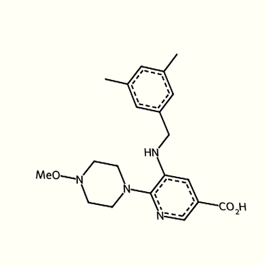 CON1CCN(c2ncc(C(=O)O)cc2NCc2cc(C)cc(C)c2)CC1